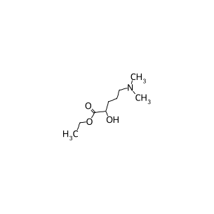 CCOC(=O)C(O)CCCN(C)C